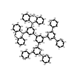 c1ccc(-c2cc(-c3cccnc3)nc(-c3cc(-c4cc(N5c6ccccc6Oc6ccccc65)cc(N5c6ccccc6Sc6ccccc65)c4)cc(-c4nc(-c5cccnc5)cc(-c5ccccn5)n4)c3)n2)nc1